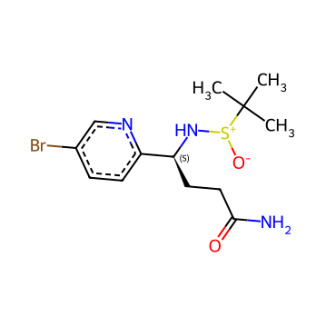 CC(C)(C)[S+]([O-])N[C@@H](CCC(N)=O)c1ccc(Br)cn1